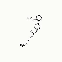 CCCCCCC(=O)ON1CCN(c2ccccc2OC)CC1